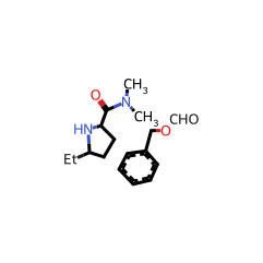 CCC1CCC(C(=O)N(C)C)N1.O=COCc1ccccc1